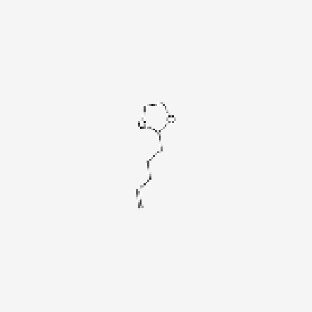 C=CCCCC1OCCO1